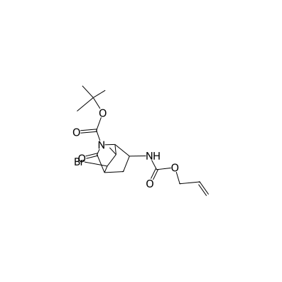 C=CCOC(=O)NC1CC2C(=O)N(C(=O)OC(C)(C)C)C1C(C)C2Br